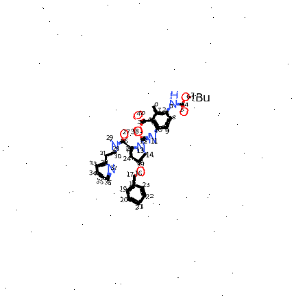 Cc1c(NC(=O)OC(C)(C)C)ccc2nc(N3C[C@H](OCc4ccccc4)C[C@H]3C(=O)N(C)CCc3ccccn3)oc(=O)c12